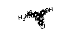 Cc1cc(Cl)ccc1C(=O)c1sc2cc(O)ccc2c1-c1ccc(-c2nc(N)cs2)cc1